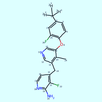 [2H]C([2H])([2H])c1ccc(Oc2cncc(Cc3ccnc(N)c3F)c2C)c(F)c1